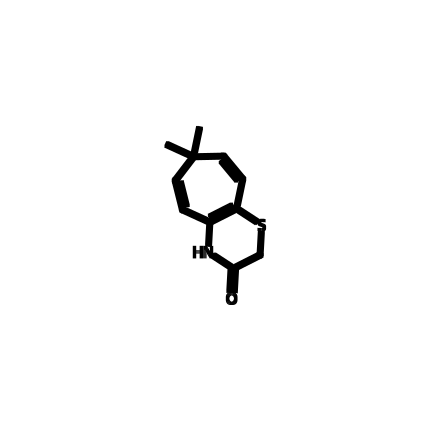 CC1(C)C=CC2=C(C=C1)SCC(=O)N2